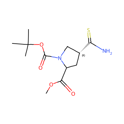 COC(=O)C1C[C@@H](C(N)=S)CN1C(=O)OC(C)(C)C